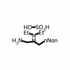 CCCCCCCCCCCCN.CCNCC.O=S(=O)(O)O